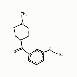 CCCCNc1cccc(C(=O)C2CCN(C)CC2)c1